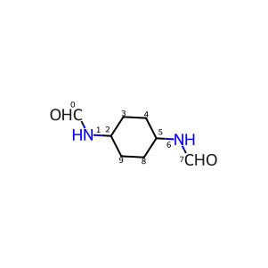 O=CNC1CCC(NC=O)CC1